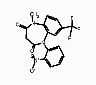 CN1C(=O)CC(=O)N(c2ccccc2[N+](=O)[O-])c2cc(C(F)(F)F)ccc21